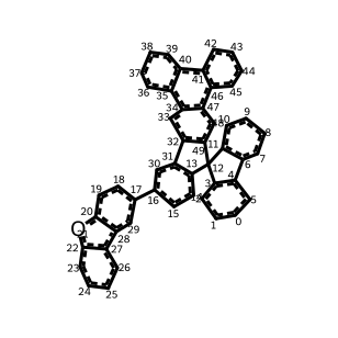 c1ccc2c(c1)-c1ccccc1C21c2ccc(-c3ccc4oc5ccccc5c4c3)cc2-c2cc3c4ccccc4c4ccccc4c3cc21